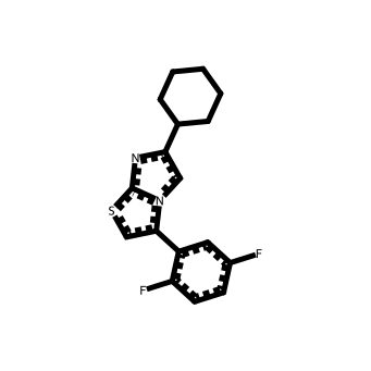 Fc1ccc(F)c(-c2csc3nc(C4CCCCC4)cn23)c1